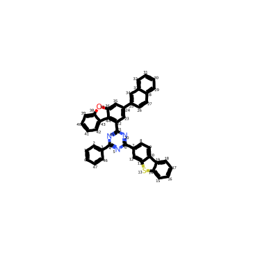 c1ccc(-c2nc(-c3ccc4c(c3)sc3ccccc34)nc(-c3cc(-c4ccc5ccccc5c4)cc4oc5ccccc5c34)n2)cc1